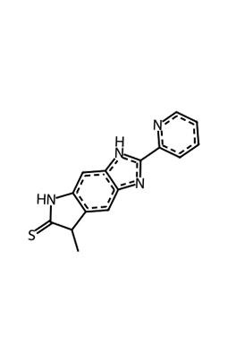 CC1C(=S)Nc2cc3[nH]c(-c4ccccn4)nc3cc21